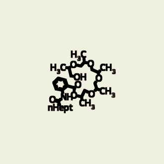 CCCCCCCC(=O)Nc1ccccc1C(=O)OC(C)COC(C)COC(C)COC(C)COC(C)CO